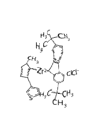 CC1C=CC(c2ccsc2)=[C]1[Zr+2][CH]1c2cc(C(C)(C)C)ccc2-c2ccc(C(C)(C)C)cc21.[Cl-].[Cl-]